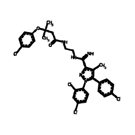 Cc1c(C(=N)NCCNC(=O)CC(C)(C)Oc2ccc(Cl)cc2)nn(-c2ccc(Cl)cc2Cl)c1-c1ccc(Cl)cc1